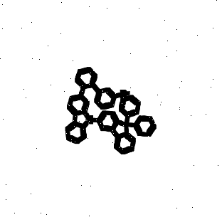 Brc1cccc(-c2ccccc2-c2ccc3c4ccccc4n(-c4ccc5c(c4)-c4ccccc4C5(c4ccccc4)c4ccccc4)c3c2)c1